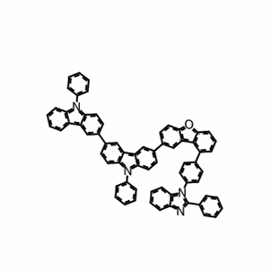 c1ccc(-c2nc3ccccc3n2-c2ccc(-c3cccc4oc5ccc(-c6ccc7c(c6)c6cc(-c8ccc9c(c8)c8ccccc8n9-c8ccccc8)ccc6n7-c6ccccc6)cc5c34)cc2)cc1